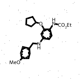 CCOC(=O)Nc1ccc(NCc2ccc(OC)cc2)cc1OC1CCCC1